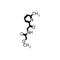 COCC(=O)NCC(=O)c1cccc(C)n1